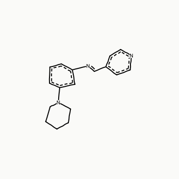 C(=Nc1cccc(N2CCCCC2)c1)c1ccncc1